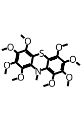 COc1c(OC)c(OC)c2c(c1OC)Sc1c(OC)c(OC)c(OC)c(OC)c1N2C